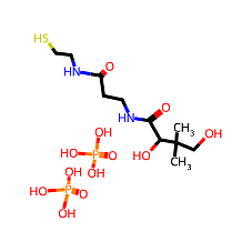 CC(C)(CO)C(O)C(=O)NCCC(=O)NCCS.O=P(O)(O)O.O=P(O)(O)O